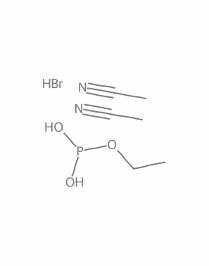 Br.CC#N.CC#N.CCOP(O)O